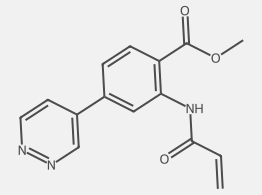 C=CC(=O)Nc1cc(-c2ccnnc2)ccc1C(=O)OC